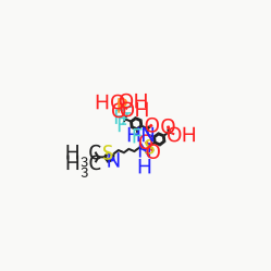 CC(C)c1cnc(CCCCCNS(=O)(=O)c2ccc(C(=O)O)cc2NC(=O)c2ccc(C(F)(F)F)cc2F)s1.O=P(O)(O)O